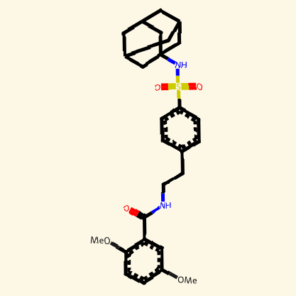 COc1ccc(OC)c(C(=O)NCCc2ccc(S(=O)(=O)NC34CC5CC(CC(C5)C3)C4)cc2)c1